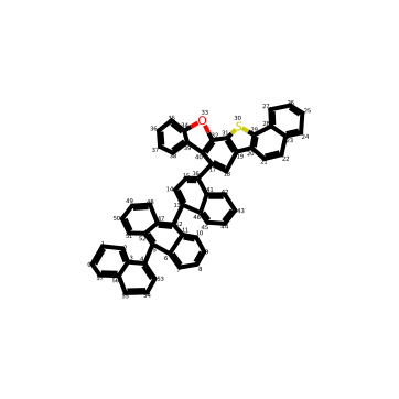 c1ccc2c(-c3c4ccccc4c(-c4ccc(-c5cc6c7ccc8ccccc8c7sc6c6oc7ccccc7c56)c5ccccc45)c4ccccc34)cccc2c1